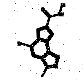 CCNC(=O)c1cc2c(Br)cn3c(C)nnc3n2c1